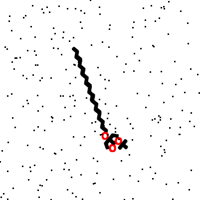 CCC=CCC=CCC=CCC=CCC=CCCCCOC(CC)(CC)C(=O)OC(C)(C)C